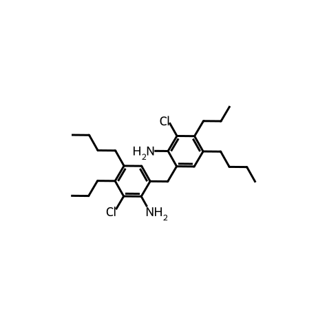 CCCCc1cc(Cc2cc(CCCC)c(CCC)c(Cl)c2N)c(N)c(Cl)c1CCC